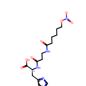 O=C(CCCCCO[N+](=O)[O-])NCCC(=O)N[C@@H](Cc1c[nH]cn1)C(=O)O